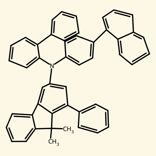 CC1(C)c2ccccc2-c2cc(N(c3ccc(-c4cccc5ccccc45)cc3)c3ccccc3-c3ccccc3)cc(-c3ccccc3)c21